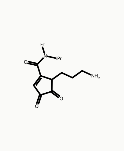 CCN(C(=O)C1=CC(=O)C(=O)C1CCCN)C(C)C